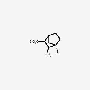 CCOC(=O)C1C2CC[C@H](C2)C1N